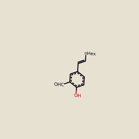 CCCCCC/C=C/c1ccc(O)c(C=O)c1